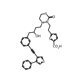 O=C(O)c1ccc(CCN2C(=O)SCCN2CCC(O)Cc2cccc(C#Cc3cscc3-c3ccccc3)c2)s1